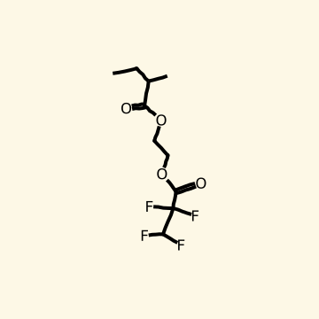 CCC(C)C(=O)OCCOC(=O)C(F)(F)C(F)F